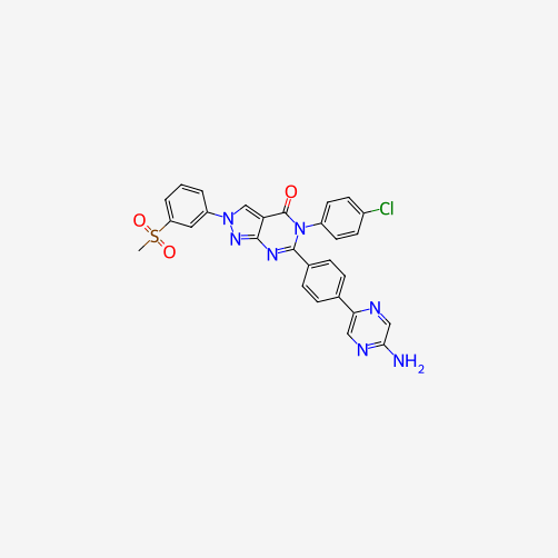 CS(=O)(=O)c1cccc(-n2cc3c(=O)n(-c4ccc(Cl)cc4)c(-c4ccc(-c5cnc(N)cn5)cc4)nc3n2)c1